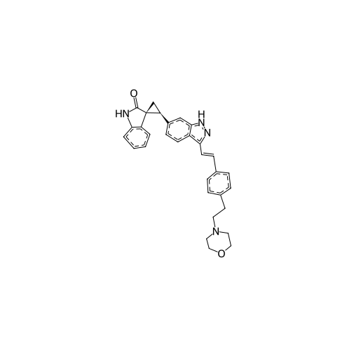 O=C1Nc2ccccc2[C@]12C[C@H]2c1ccc2c(C=Cc3ccc(CCN4CCOCC4)cc3)n[nH]c2c1